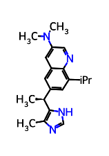 Cc1nc[nH]c1[C@@H](C)c1cc(C(C)C)c2ncc(N(C)C)cc2c1